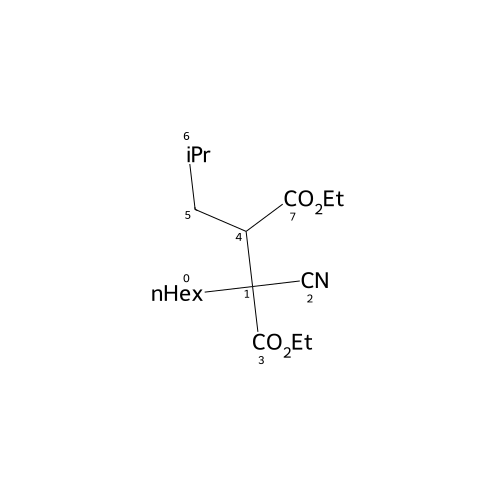 CCCCCCC(C#N)(C(=O)OCC)C(CC(C)C)C(=O)OCC